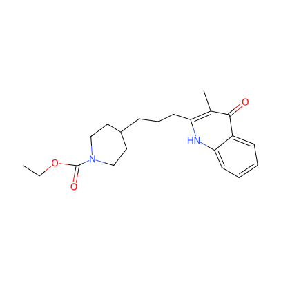 CCOC(=O)N1CCC(CCCc2[nH]c3ccccc3c(=O)c2C)CC1